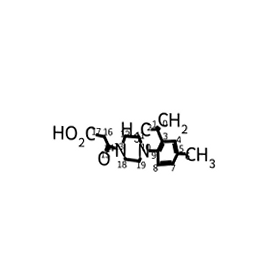 C=C(C)c1cc(C)ccc1N1CCN(C(=O)CC(=O)O)CC1